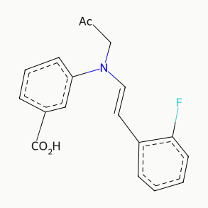 CC(=O)CN(C=Cc1ccccc1F)c1cccc(C(=O)O)c1